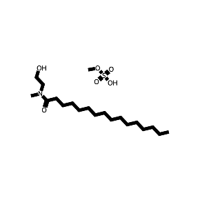 CCCCCCCCCCCCCCCC(=O)N(C)CCO.COS(=O)(=O)O